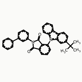 CC(C)(C)c1ccc2c3ccccc3n(-c3cccc4c3C(=O)N(c3cccc(-c5ccccc5)c3)C4=O)c2c1